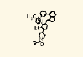 CCc1cc(CC2CCc3cccc(-c4cccc(-n5nccc5C)c4)c32)ccc1C1CCN(C(=O)C2CC2)CC1